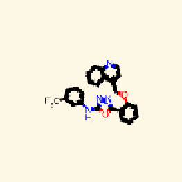 FC(F)(F)c1cccc(Nc2nnc(-c3ccccc3OCc3ccnc4ccccc34)o2)c1